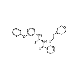 O=C(NC(=S)Nc1cccc(Oc2ccccc2)c1)c1cccnc1OCCN1CCOCC1